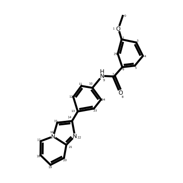 COc1cccc(C(=O)Nc2ccc(-c3cn4ccccc4n3)cc2)c1